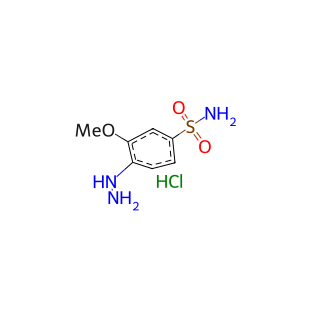 COc1cc(S(N)(=O)=O)ccc1NN.Cl